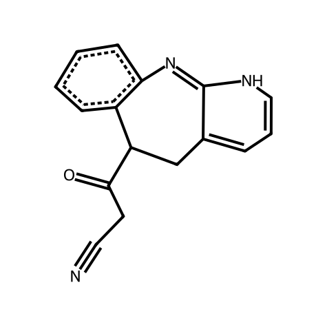 N#CCC(=O)C1CC2=CC=CNC2=Nc2ccccc21